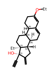 C#C[C@]1(O)C(=C)C[C@H]2[C@@H]3CC=C4C=C(OCC)CC[C@@H]4[C@H]3CC[C@@]21CC